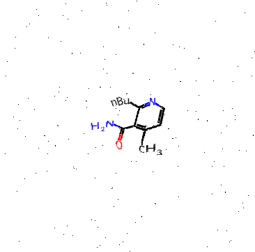 CCCCc1nccc(C)c1C(N)=O